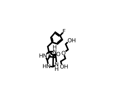 O=C1C2NC3NC1NC(Cc1ccc(F)cc1)(N2)C3=O.OCCOCCO